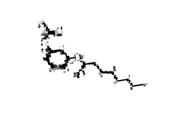 CCCCCCCC(=O)Oc1cccc(OC(C)=O)c1